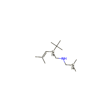 CC(C)=C[SiH](CNC[SiH](C)C)C(C)(C)C